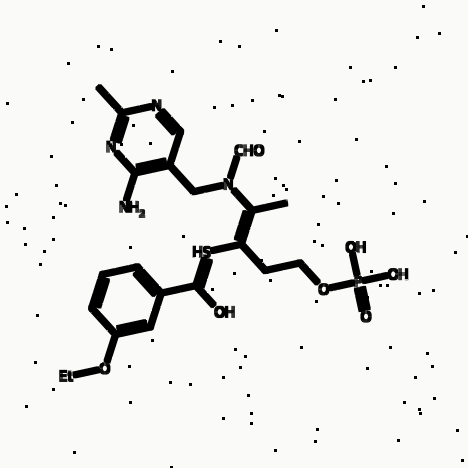 CCOc1cccc(/C(O)=[SH]/C(CCOP(=O)(O)O)=C(/C)N(C=O)Cc2cnc(C)nc2N)c1